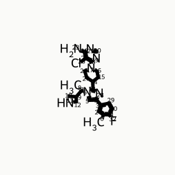 Cc1cc(-c2cn(C(C)C3CNC3)c(C3CCN(c4ncnc(N)c4Cl)CC3)n2)ccc1F